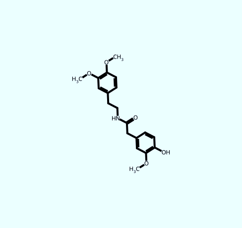 COc1cc(CC(=O)NCCc2ccc(OC)c(OC)c2)ccc1O